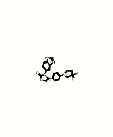 O=C1OC[C@H](c2ccc(N3CCC(F)(F)C3)cc2)N1c1ccc2[nH]cnc2c1